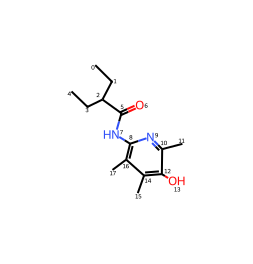 CCC(CC)C(=O)Nc1nc(C)c(O)c(C)c1C